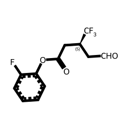 O=CC[C@@H](CC(=O)Oc1ccccc1F)C(F)(F)F